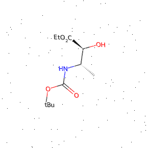 CCOC(=O)[C@@H](O)[C@H](C)NC(=O)OC(C)(C)C